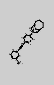 CN1C2CCCCC1CN(c1ccc(C#Cc3cccc(N)c3)nn1)C2